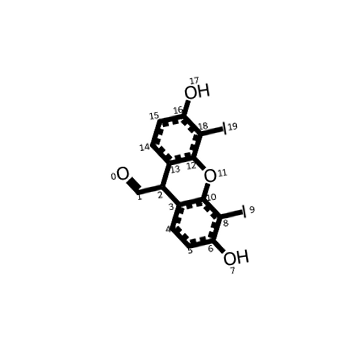 O=CC1c2ccc(O)c(I)c2Oc2c1ccc(O)c2I